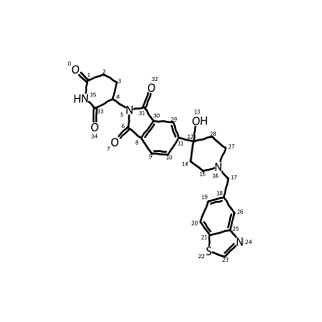 O=C1CCC(N2C(=O)c3ccc(C4(O)CCN(Cc5ccc6scnc6c5)CC4)cc3C2=O)C(=O)N1